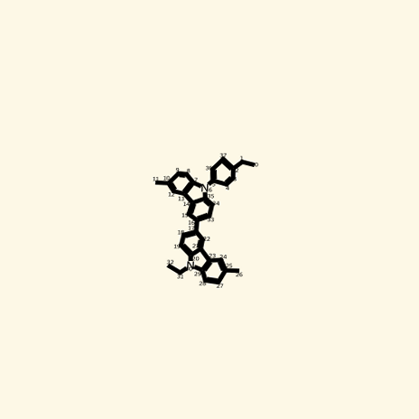 CCc1ccc(-n2c3ccc(C)cc3c3cc(-c4ccc5c(c4)c4cc(C)ccc4n5CC)ccc32)cc1